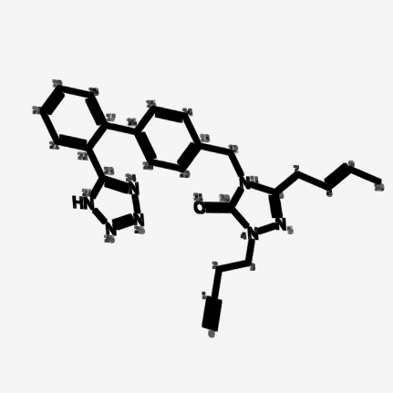 C#CCCn1nc(CC=CC)n(Cc2ccc(-c3ccccc3-c3nnn[nH]3)cc2)c1=O